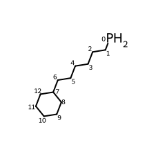 PCCCCCCC1CCCCC1